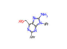 CCCc1nc(CO)c2nc(N)n(C(C)C)c2n1